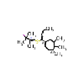 CC=C=C(S/C=C(\C)C(C)(C)I)[C@@H]1CC[C@@H](C)C(C)C(C)C1